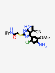 COc1cc(-c2nc(SCC(=O)NC(C)C)nc3[nH]cc(C#N)c23)c(Cl)cc1N